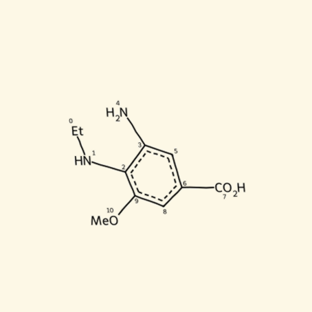 CCNc1c(N)cc(C(=O)O)cc1OC